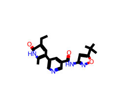 CCc1cc(-c2cncc(C(=O)Nc3cc(C(C)(C)C)on3)c2)c(C)[nH]c1=O